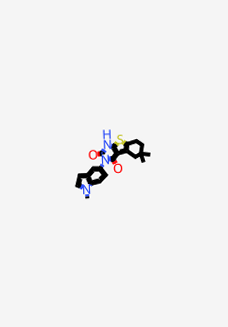 Cn1ccc2cc(-n3c(=O)[nH]c4sc5c(c4c3=O)CC(C)(C)CC5)ccc21